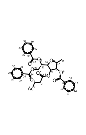 CC(=O)CCC(=O)OC1C(OC(=O)c2ccccc2)C(C)OC1[C@@H](COC(=O)c1ccccc1)OC(=O)c1ccccc1